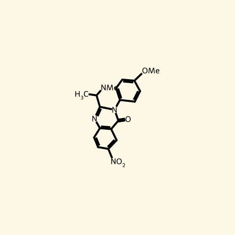 CNC(C)c1nc2ccc([N+](=O)[O-])cc2c(=O)n1-c1ccc(OC)cc1